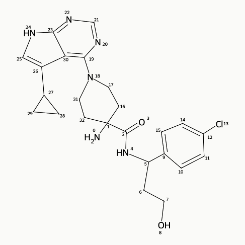 NC1(C(=O)NC(CCO)c2ccc(Cl)cc2)CCN(c2ncnc3[nH]cc(C4CC4)c23)CC1